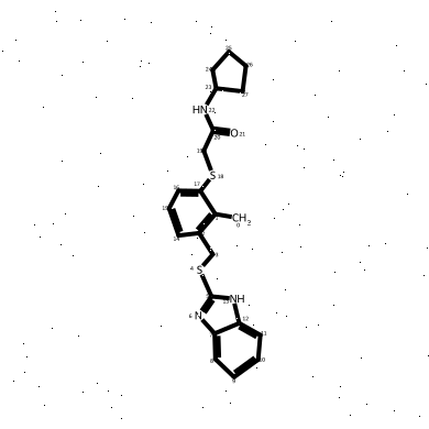 Cc1c(CSc2nc3ccccc3[nH]2)cccc1SCC(=O)NC1CCCC1